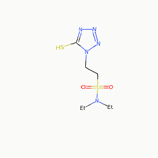 CCN(CC)S(=O)(=O)CCn1nnnc1S